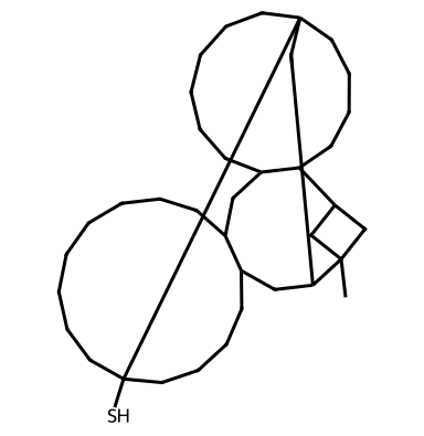 CC12CC(C1)C1CCCCC34CCCCCCC1CC1CCCCCCCCC3(S)CCCCC1CC2C4